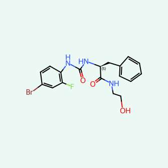 O=C(Nc1ccc(Br)cc1F)N[C@@H](Cc1ccccc1)C(=O)NCCO